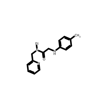 CCN(Cc1ccccn1)C(=O)CNc1ccc(C)cc1